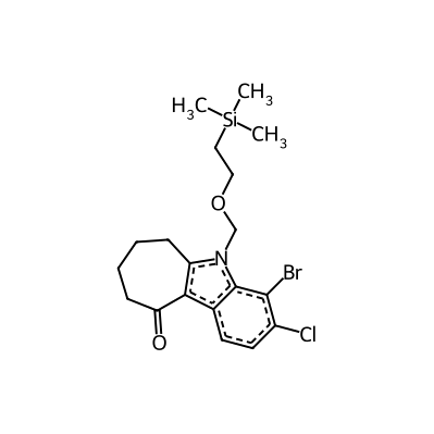 C[Si](C)(C)CCOCn1c2c(c3ccc(Cl)c(Br)c31)C(=O)CCCC2